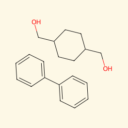 OCC1CCC(CO)CC1.c1ccc(-c2ccccc2)cc1